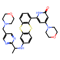 CC(Nc1ccc2c(c1)Sc1cccc(-c3cc(N4CCOCC4)cc(=O)[nH]3)c1S2)c1ncc(CN2CCOCC2)cn1